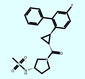 CS(=O)(=O)N[C@H]1CCN(C(=O)[C@@H]2C[C@H]2c2ccc(F)cc2-c2ccccc2)C1